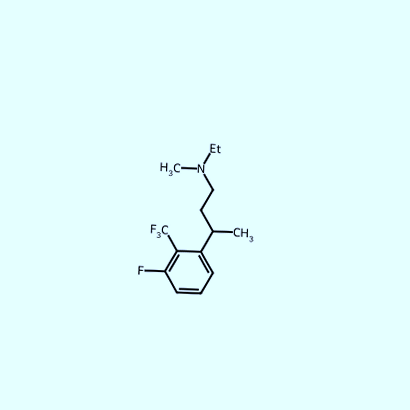 CCN(C)CCC(C)c1cccc(F)c1C(F)(F)F